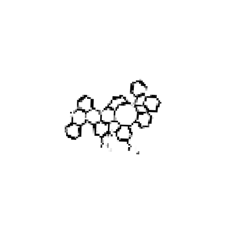 Cc1cc2c3c(c1)B1c4ccccc4Sc4cccc(c41)N3c1ccc3cc1B2c1c(C)cc(C)cc1-c1ccccc1[Si]3(c1ccccc1)c1ccccc1